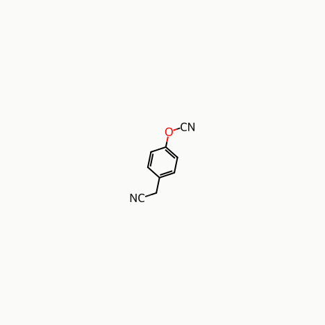 N#CCc1ccc(OC#N)cc1